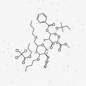 CCCCOCC1O[C@H](O[C@H]2C(I)C(OC(=O)c3ccccc3)[C@H](OC(C)(C)CC)O[C@H]2C(=O)OC)[C@@H](N=[N+]=[N-])C(OCCCC)[C@@H]1C(CC)OC(=O)C(Cl)(Cl)Cl